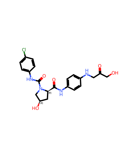 O=C(CO)CNc1ccc(NC(=O)[C@H]2C[C@@H](O)CN2C(=O)Nc2ccc(Cl)cc2)cc1